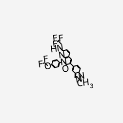 Cn1cc2cc(-c3cc4ccc(NCC(F)(F)F)nc4n(-c4ccc(OC(F)F)cc4)c3=O)ccc2n1